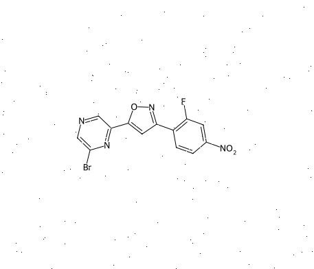 O=[N+]([O-])c1ccc(-c2cc(-c3[c]ncc(Br)n3)on2)c(F)c1